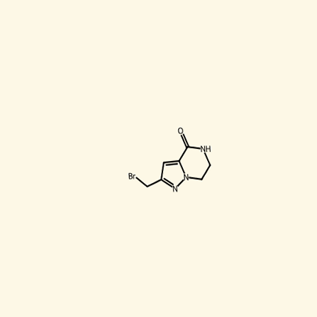 O=C1NCCn2nc(CBr)cc21